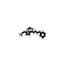 N#CCc1ccc2c(CCCCc3ccccc3)nccn12